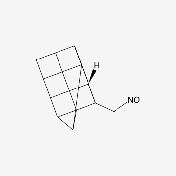 O=NCC12[C@H]3C14C1CC5C6C7C8C4C51C63C872